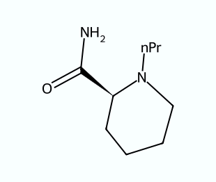 CCCN1CCCC[C@H]1C(N)=O